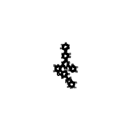 c1ccc(-c2ccc(-c3cc(-c4cccc5oc6cc(-c7nc8ccccc8s7)ccc6c45)nc(-c4ccccc4)n3)cc2)cc1